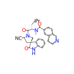 CC(C)C[C@@H](C(=O)N1C[C@]2(C[C@H]1C#N)C(=O)Nc1ccccc12)N(C)C(=O)c1ccc2cnccc2c1